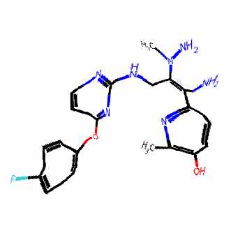 Cc1nc(/C(N)=C(\CNc2nccc(Oc3ccc(F)cc3)n2)N(C)N)ccc1O